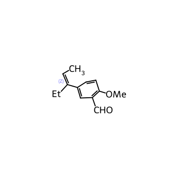 C/C=C(/CC)c1ccc(OC)c(C=O)c1